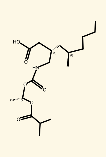 CCCC[C@@H](C)C[C@H](CNC(=O)O[C@@H](C)OC(=O)C(C)C)CC(=O)O